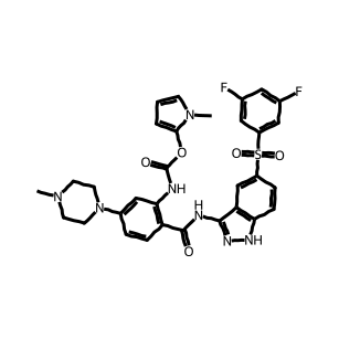 CN1CCN(c2ccc(C(=O)Nc3n[nH]c4ccc(S(=O)(=O)c5cc(F)cc(F)c5)cc34)c(NC(=O)Oc3cccn3C)c2)CC1